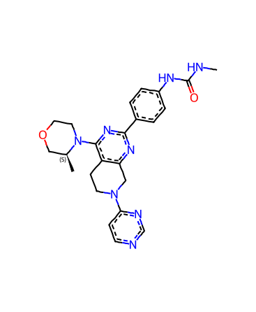 CNC(=O)Nc1ccc(-c2nc3c(c(N4CCOC[C@@H]4C)n2)CCN(c2ccncn2)C3)cc1